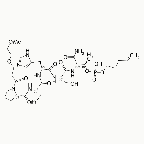 C=CCCCOP(=O)(O)O[C@H](C)[C@H](NC(=O)[C@H](CO)NC(=O)[C@H](Cc1cnc[nH]1)NC(=O)[C@H](CC(C)C)NC(=O)[C@@H]1CCCN1C(=O)CCOCCOC)C(N)=O